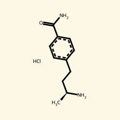 C[C@H](N)CCc1ccc(C(N)=O)cc1.Cl